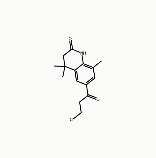 Cc1cc(C(=O)CCCl)cc2c1NC(=O)CC2(C)C